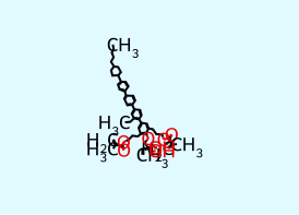 C=C(C)C(=O)OCCCc1cc(-c2ccc(-c3ccc(-c4ccc(C5CCC(CCCCC)CC5)cc4)cc3)cc2CC)cc(CCCOC(=O)C(=C)C)c1OCC(CC)(CO)CO